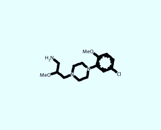 COc1ccc(Cl)cc1N1CCN(CC(CN)OC)CC1